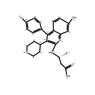 O=C(O)C[C@@H](F)Nc1nc2cc(O)ccc2c(-c2ccc(F)cc2)c1C1CCOCC1